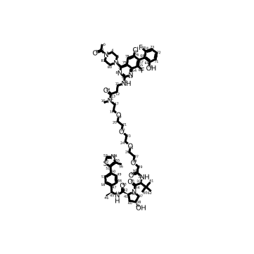 CC(=O)N1CCN(c2nc(NCCC(=O)N(C)CCOCCOCCOCCOCC(=O)N[C@H](C(=O)N3C[C@H](O)C[C@H]3C(=O)N[C@@H](C)c3ccc(-c4scnc4C)cc3)C(C)(C)C)nc3c(F)c(-c4c(O)cccc4F)c(Cl)cc23)CC1